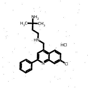 CC(C)(N)CCNCc1cc(-c2ccccc2)nc2cc(Cl)ccc12.Cl